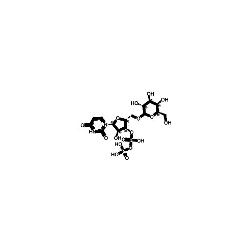 O=c1ccn([C@@H]2O[C@H](COC3O[C@H](CO)[C@H](O)[C@H](O)[C@H]3O)[C@@H](OP(=O)(O)OP(=O)(O)O)[C@H]2O)c(=O)[nH]1